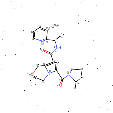 CC[C@@H](NC(=O)c1cc(C(=O)N2CCCC2C)n2c1COCC2)c1ncccc1OC